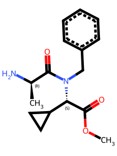 COC(=O)[C@H](C1CC1)N(Cc1ccccc1)C(=O)[C@@H](C)N